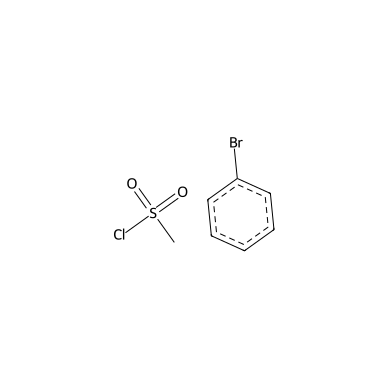 Brc1ccccc1.CS(=O)(=O)Cl